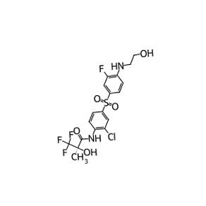 C[C@@](O)(C(=O)Nc1ccc(S(=O)(=O)c2ccc(NCCO)c(F)c2)cc1Cl)C(F)(F)F